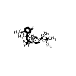 COc1ccc(F)cc1C(C)(C)CC(O)(CN1CCN(C(=O)OC(C)(C)C)CC1)C(F)(F)F